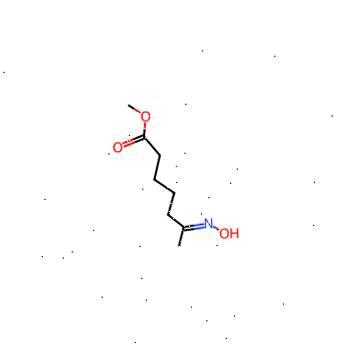 COC(=O)CCCCC(C)=NO